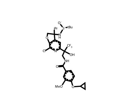 COc1cc(C(=O)NCC(O)(c2cc3c(c(Cl)n2)OCC3(N[S+]([O-])C(C)(C)C)C(C)C)C(F)(F)F)ccc1OC1CC1